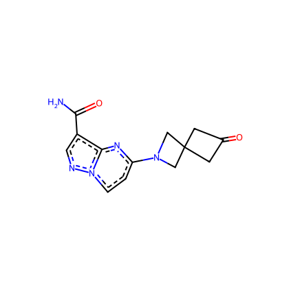 NC(=O)c1cnn2ccc(N3CC4(CC(=O)C4)C3)nc12